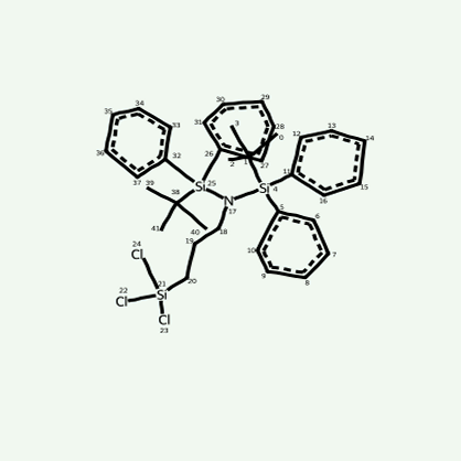 CC(C)(C)[Si](c1ccccc1)(c1ccccc1)N(CCC[Si](Cl)(Cl)Cl)[Si](c1ccccc1)(c1ccccc1)C(C)(C)C